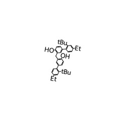 CCc1ccc(-c2ccc(O)c(Cc3cc(-c4ccc(CC)cc4C(C)(C)C)ccc3O)c2)c(C(C)(C)C)c1